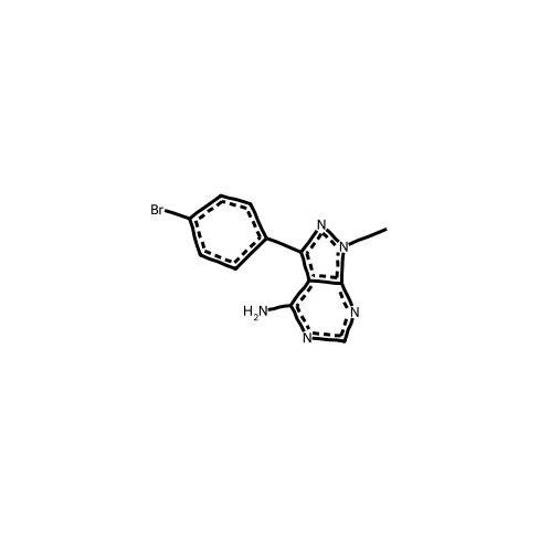 Cn1nc(-c2ccc(Br)cc2)c2c(N)ncnc21